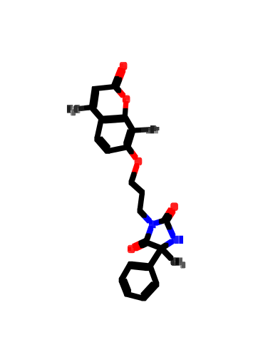 CCCc1c(OCCCN2C(=O)NC(C)(c3ccccc3)C2=O)ccc2c(C(F)(F)F)cc(=O)oc12